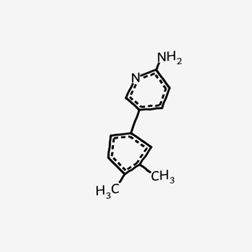 Cc1ccc(-c2ccc(N)nc2)cc1C